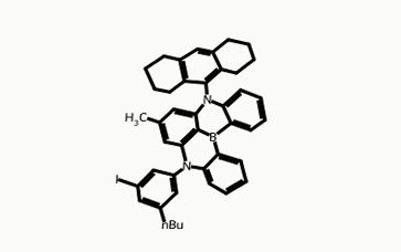 CCCCc1cc(I)cc(N2c3ccccc3B3c4ccccc4N(c4c5c(cc6c4CCCC6)CCCC5)c4cc(C)cc2c43)c1